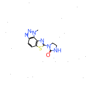 Cn1nnc2ccc3sc(N4CCNC4=O)nc3c21